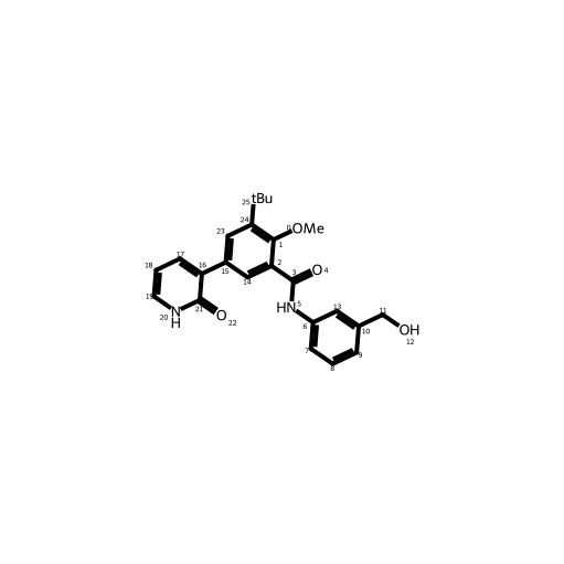 COc1c(C(=O)Nc2cccc(CO)c2)cc(-c2ccc[nH]c2=O)cc1C(C)(C)C